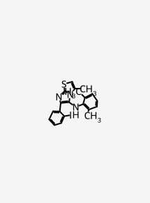 Cc1cccc(C)c1Nc1c(-c2ccccc2I)nc2scc(C)n12